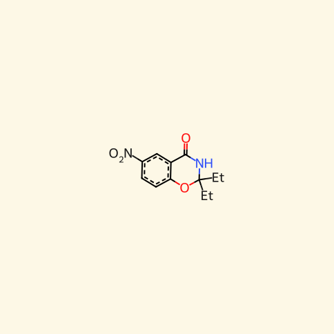 CCC1(CC)NC(=O)c2cc([N+](=O)[O-])ccc2O1